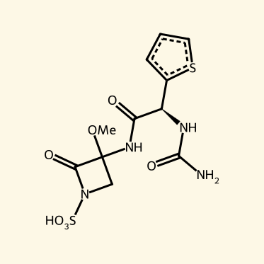 COC1(NC(=O)[C@H](NC(N)=O)c2cccs2)CN(S(=O)(=O)O)C1=O